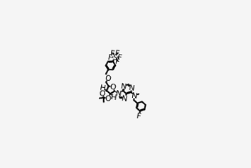 CN(CC1=CC(F)=CCC1)c1ncnc2c1ncn2[C@@H]1OC(COCc2ccc(S(F)(F)(F)(F)F)cc2)[C@H]2OC(C)(C)O[C@H]21